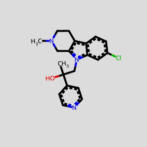 CN1CCc2c(n(CC(C)(O)c3ccncc3)c3cc(Cl)ccc23)C1